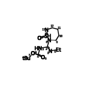 CC/N=C(/NC(=O)OC(C)(C)C)N1CCCCN=[SH]1=O